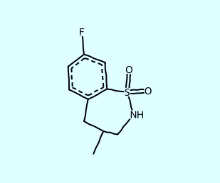 CC1CNS(=O)(=O)c2cc(F)ccc2C1